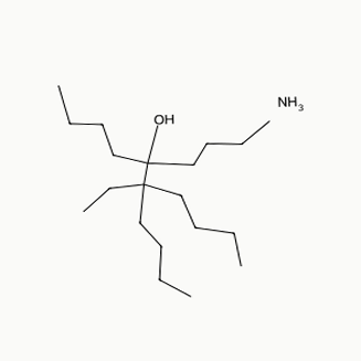 CCCCC(O)(CCCC)C(CC)(CCCC)CCCC.N